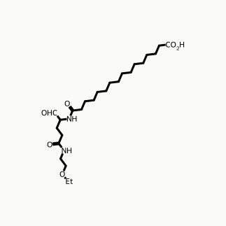 CCOCCNC(=O)CCC(C=O)NC(=O)CCCCCCCCCCCCCCC(=O)O